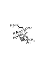 CO[Si](CCCN)(OC)O[Si](O)(O[Si](C)(C)O)O[Si](C)(O)O